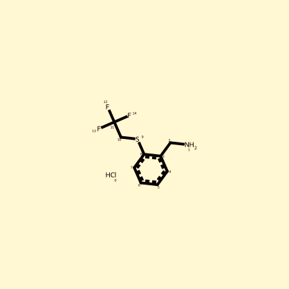 Cl.NCc1ccccc1SCC(F)(F)F